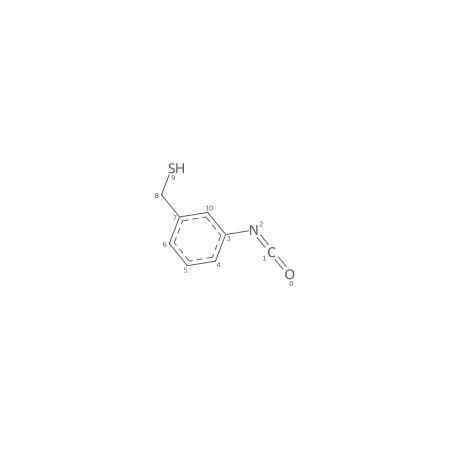 O=C=Nc1cccc(CS)c1